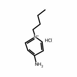 CCCC[n+]1ccc(N)cc1.Cl